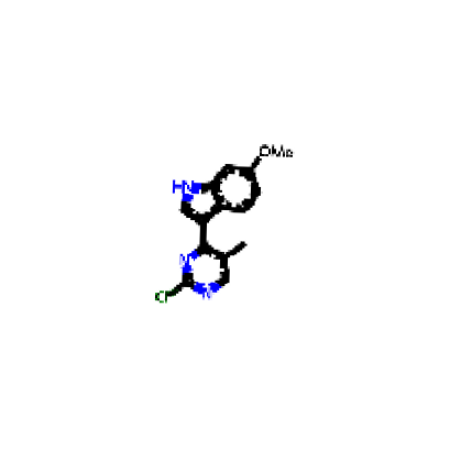 COc1ccc2c(-c3nc(Cl)ncc3C)c[nH]c2c1